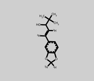 [2H]/C(=C(/[2H])C(O)C(C)(C)C)c1ccc2c(c1)OC([2H])([2H])O2